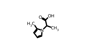 Cc1cccn1C(C)C(=O)O